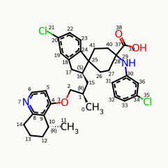 C[C@@H](COc1ccnc2c1[C@H](C)CCC2)C[C@H]1Cc2cc(Cl)ccc2C12CCC(Nc1cccc(Cl)c1)(C(=O)O)CC2